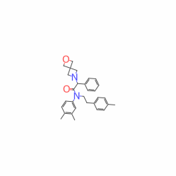 Cc1ccc(CCN(C(=O)C(c2ccccc2)N2CC3(COC3)C2)c2ccc(C)c(C)c2)cc1